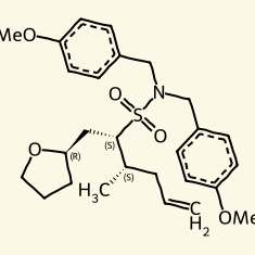 C=CC[C@H](C)[C@H](C[C@H]1CCCO1)S(=O)(=O)N(Cc1ccc(OC)cc1)Cc1ccc(OC)cc1